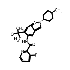 CC(C)(O)c1cc2nn([C@H]3CC[C@H](C)CC3)cc2cc1NC(=O)c1ncccc1F